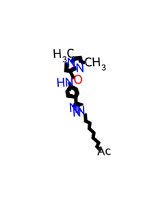 CC(=O)CCCCCCCCn1cc(-c2ccc(NC(=O)c3ccn4c(C)cc(C)nc34)cc2)nn1